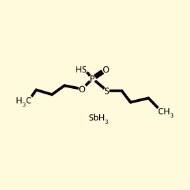 CCCCOP(=O)(S)SCCCC.[SbH3]